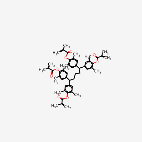 C=C(C)C(=O)Oc1c(C)cc(C(CCCC(c2cc(C)c(OC(=O)C(=C)C)c(C)c2)c2cc(C)c(OC(=O)C(=C)C)c(C)c2)c2cc(C)c(OC(=O)C(=C)C)c(C)c2)cc1C